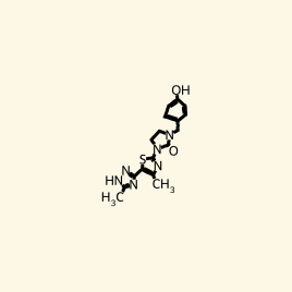 Cc1nc(-c2sc(N3CCN(Cc4ccc(O)cc4)C3=O)nc2C)n[nH]1